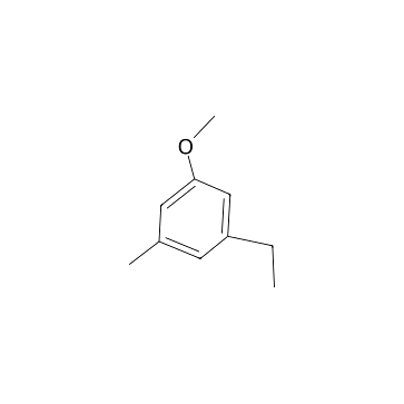 CCc1cc(C)cc(OC)c1